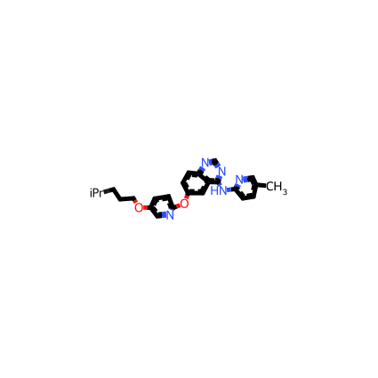 Cc1ccc(Nc2ncnc3ccc(Oc4ccc(OCCCC(C)C)cn4)cc23)nc1